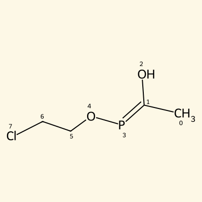 CC(O)=POCCCl